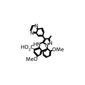 COc1cc(C)c(Nc2c(-c3ccc4nccnc4c3)c(C)nn2-c2ccccc2OC)c(C(=O)O)c1